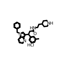 Cc1cccc(C(CC(=O)NCCC2CCNCC2)c2cn(Cc3ccccc3)c3cccnc23)c1.Cl